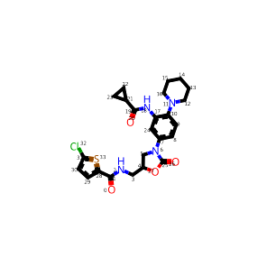 O=C(NCC1CN(c2ccc(N3CCCCC3)c(NC(=O)C3CC3)c2)C(=O)O1)c1ccc(Cl)s1